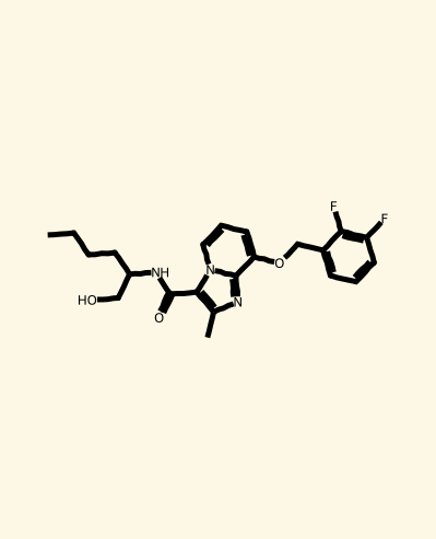 CCCCC(CO)NC(=O)c1c(C)nc2c(OCc3cccc(F)c3F)cccn12